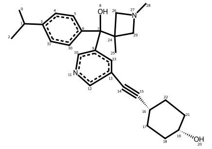 CC(C)c1ccc(C(O)(c2cncc(C#C[C@H]3CC[C@@H](O)CC3)c2)C2(C)CN(C)C2)cc1